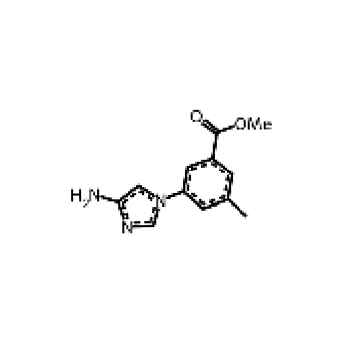 COC(=O)c1cc(C)cc(-n2cnc(N)c2)c1